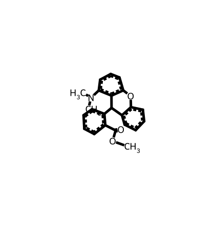 COC(=O)c1ccccc1C1c2ccccc2Oc2cccc(N(C)C)c21